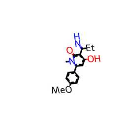 CCC(=N)c1c(O)cc(-c2ccc(OC)cc2)n(C)c1=O